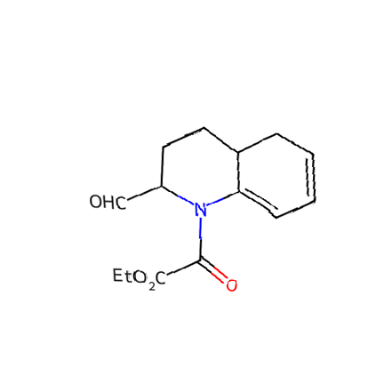 CCOC(=O)C(=O)N1C2=CC=CCC2CCC1C=O